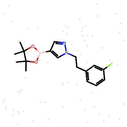 CC1(C)OB(c2cnn(CCc3cccc(F)c3)c2)OC1(C)C